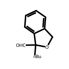 CCCCC1(C=O)OCc2ccccc21